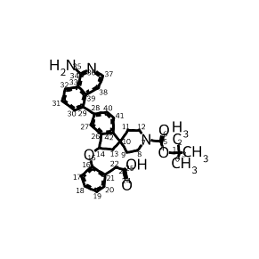 CC(C)(C)OC(=O)N1CCC2(CC1)CC(Oc1ccccc1CC(=O)O)c1cc(-c3cccc4c(N)nccc34)ccc12